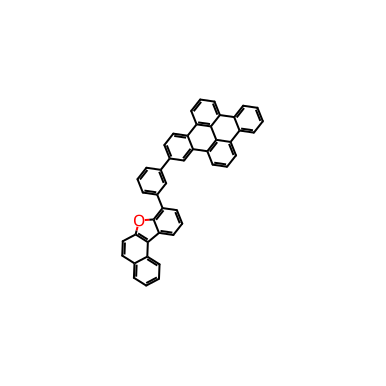 c1cc(-c2ccc3c(c2)c2cccc4c5ccccc5c5cccc3c5c42)cc(-c2cccc3c2oc2ccc4ccccc4c23)c1